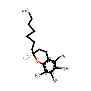 CCCCCCCCCCCCCCCC[C@@]1(C)CCc2c(C)c(OC)c(C)c(C)c2O1